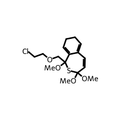 COC1(OC)C=CC2=CCCC=C2C(COCCCl)(OC)S1